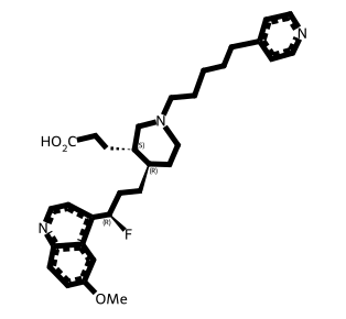 COc1ccc2nccc([C@H](F)CC[C@@H]3CCN(CCCCCc4ccncc4)C[C@H]3CCC(=O)O)c2c1